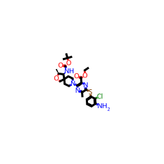 CCOC(=O)c1nc(Sc2cccc(N)c2Cl)c(C)nc1N1CCC2(CC1)CO[C@@H](C)[C@H]2NC(=O)OC(C)(C)C